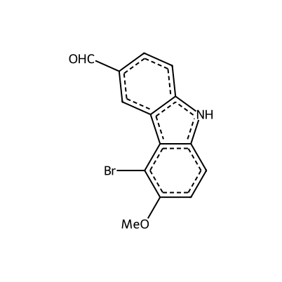 COc1ccc2[nH]c3ccc(C=O)cc3c2c1Br